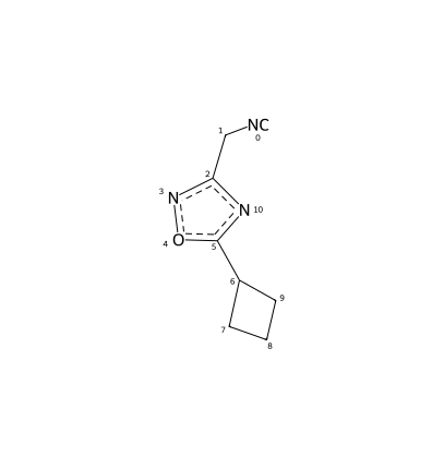 [C-]#[N+]Cc1noc(C2CCC2)n1